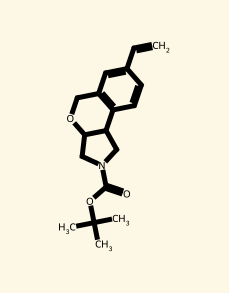 C=Cc1ccc2c(c1)COC1CN(C(=O)OC(C)(C)C)CC21